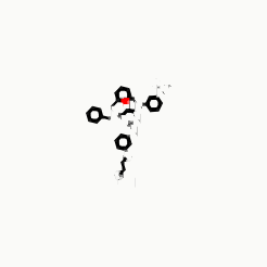 COCCOc1cccc(Nc2nc(N(Cc3ccccc3)Cc3ccccc3)c3ncn(-c4cccc([N+](=O)[O-])c4)c3n2)c1